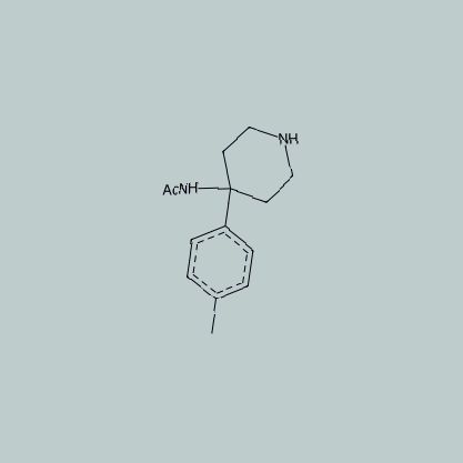 CC(=O)NC1(c2ccc(C)cc2)CCNCC1